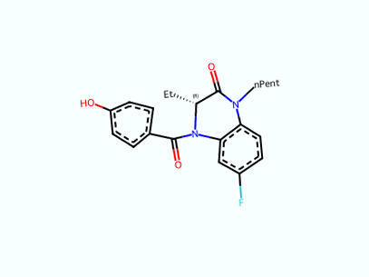 CCCCCN1C(=O)[C@@H](CC)N(C(=O)c2ccc(O)cc2)c2cc(F)ccc21